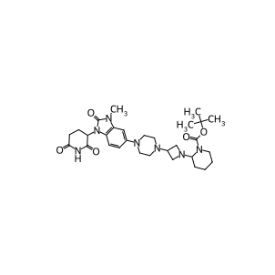 Cn1c(=O)n(C2CCC(=O)NC2=O)c2ccc(N3CCN(C4CN(C5CCCCN5C(=O)OC(C)(C)C)C4)CC3)cc21